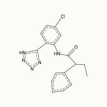 CCC(C(=O)Nc1cc(Cl)ccc1-c1nnn[nH]1)c1ccccc1